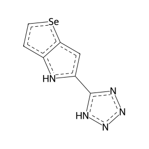 c1cc2[nH]c(-c3nnn[nH]3)cc2[se]1